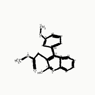 COC(=O)Cc1c(O)nc2ccccc2c1-c1cccc(OC)c1